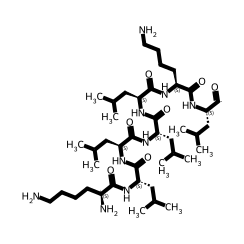 CC(C)C[C@@H]([C]=O)NC(=O)[C@H](CCCCN)NC(=O)[C@H](CC(C)C)NC(=O)[C@H](CC(C)C)NC(=O)[C@H](CC(C)C)NC(=O)[C@H](CC(C)C)NC(=O)[C@@H](N)CCCCN